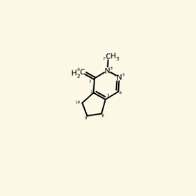 C=C1C2=C(C=NN1C)CCC2